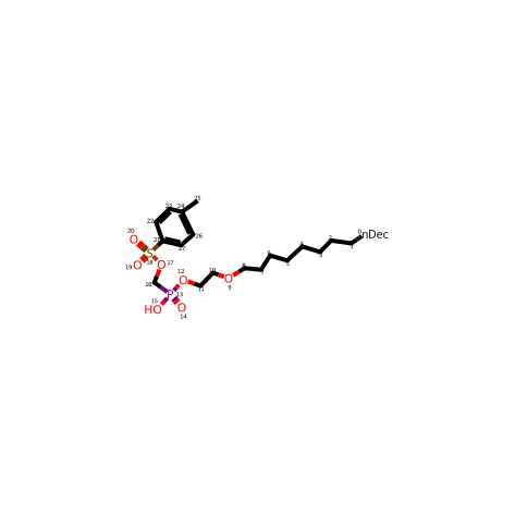 CCCCCCCCCCCCCCCCCCOCCOP(=O)(O)COS(=O)(=O)c1ccc(C)cc1